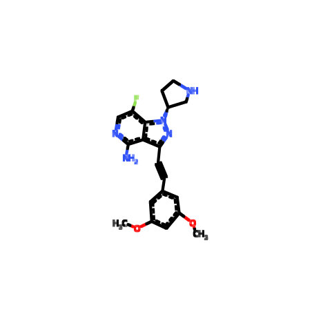 COc1cc(C#Cc2nn([C@H]3CCNC3)c3c(F)cnc(N)c23)cc(OC)c1